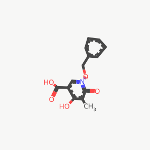 Cc1c(O)c(C(=O)O)cn(OCc2ccccc2)c1=O